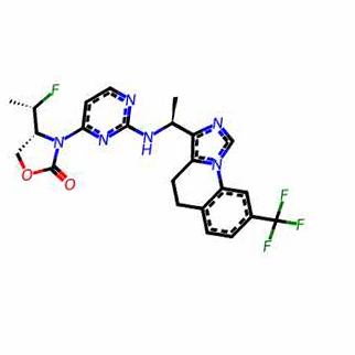 C[C@H](Nc1nccc(N2C(=O)OC[C@@H]2[C@H](C)F)n1)c1ncn2c1CCc1ccc(C(F)(F)F)cc1-2